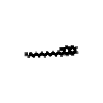 CCCCCCCCCCCCC1Cc2[c]cccc2CN1